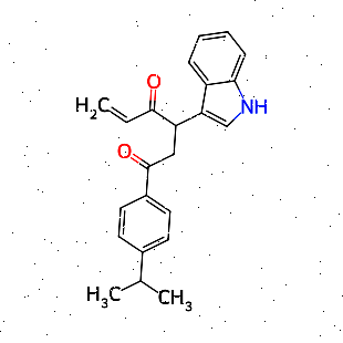 C=CC(=O)C(CC(=O)c1ccc(C(C)C)cc1)c1c[nH]c2ccccc12